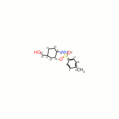 Cc1ccc(S(=O)(=O)NC2CCC(CO)CC2)cc1